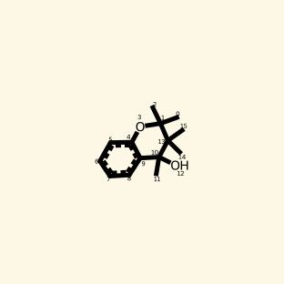 CC1(C)Oc2ccccc2C(C)(O)C1(C)C